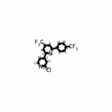 FC(F)(F)c1ccc(-c2cc(C(F)(F)F)cc(-c3ccnc(Cl)c3)n2)cc1